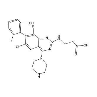 O=C(O)CCNc1nc(N2CCNCC2)c2cc(Cl)c(-c3c(O)cccc3F)c(F)c2n1